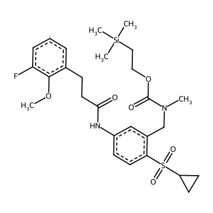 COc1c(F)c[c]cc1CCC(=O)Nc1ccc(S(=O)(=O)C2CC2)c(CN(C)C(=O)OCC[Si](C)(C)C)c1